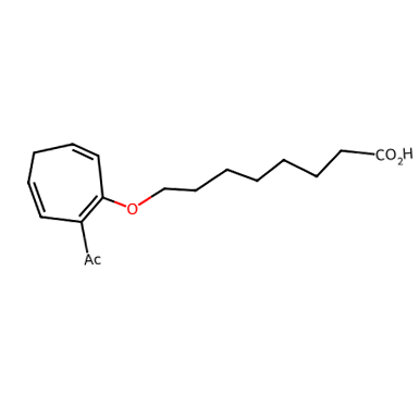 CC(=O)C1=C(OCCCCCCCC(=O)O)C=CCC=C1